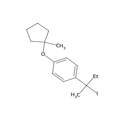 CCC(C)(I)c1ccc(OC2(C)CCCC2)cc1